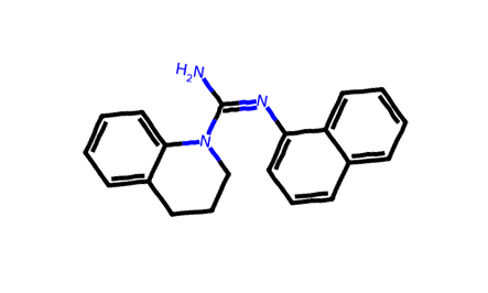 NC(=Nc1cccc2ccccc12)N1CCCc2ccccc21